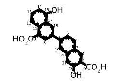 O=C(O)c1cc2ccc(-c3cc(C(=O)O)c4cccc(O)c4c3)cc2cc1O